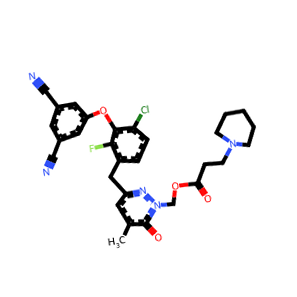 Cc1cc(Cc2ccc(Cl)c(Oc3cc(C#N)cc(C#N)c3)c2F)nn(COC(=O)CCN2CCCCC2)c1=O